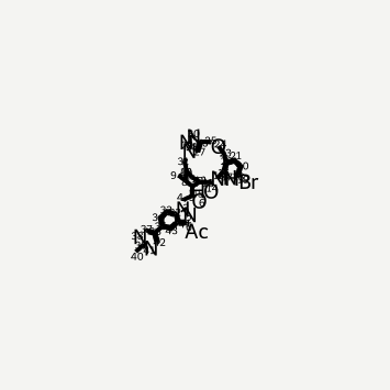 CC(=O)c1nn(CC(=O)C2C3C[C@]34C[C@H]2C(=O)Nc2nc(Br)ccc2COCc2cn(nn2)C4)c2ccc(-c3cnc(C)nc3)cc12